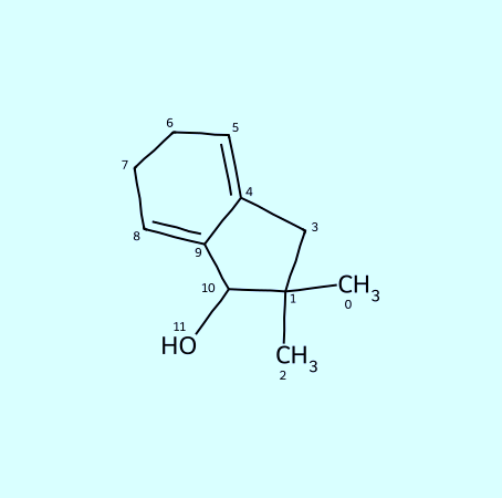 CC1(C)CC2=CCCC=C2C1O